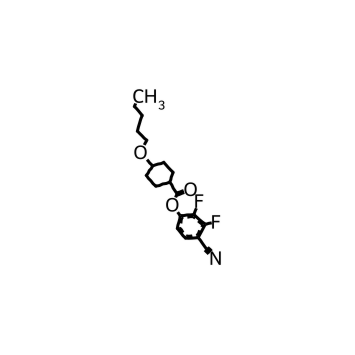 CCCCCOC1CCC(C(=O)Oc2ccc(C#N)c(F)c2F)CC1